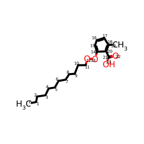 CCCCCCCCCCCCOOc1cccc(C)c1C(=O)O